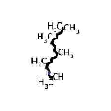 [CH]=C(C)/C=C/CC(C)CCCC(C)CCCC(C)CCCC(C)C